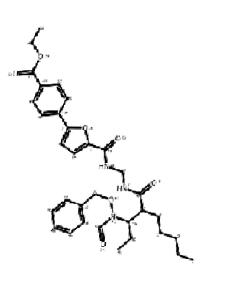 CCCCCC(C(=O)NCNC(=O)c1ccc(-c2ccc(C(=O)OCC)cc2)o1)C(CC)N(C=O)OCc1ccccc1